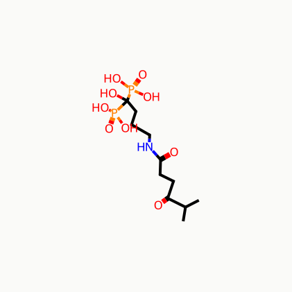 CC(C)C(=O)CCC(=O)NCCCC(O)(P(=O)(O)O)P(=O)(O)O